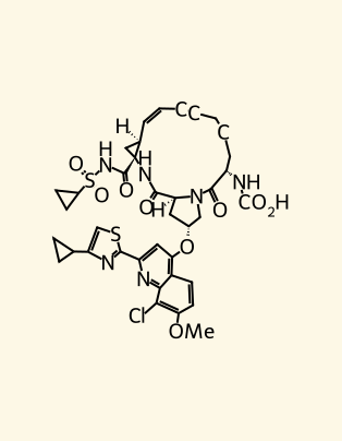 COc1ccc2c(O[C@@H]3C[C@H]4C(=O)N[C@]5(C(=O)NS(=O)(=O)C6CC6)C[C@H]5C=CCCCCC[C@H](NC(=O)O)C(=O)N4C3)cc(-c3nc(C4CC4)cs3)nc2c1Cl